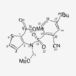 COCN(c1ccsc1C(=O)OC)S(=O)(=O)c1ccc(C(C)(C)C)cc1C#N